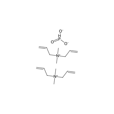 C=CC[N+](C)(C)CC=C.C=CC[N+](C)(C)CC=C.O=[PH]([O-])[O-]